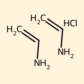 C=CN.C=CN.Cl